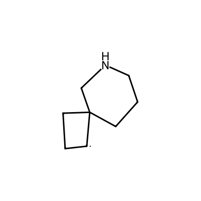 [CH]1CCC12CCCNC2